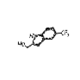 OCc1cc2cc(C(F)(F)F)ccc2[nH]1